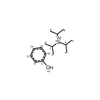 CC(C)[SiH](C(C)C)C(C)C.Oc1ccccc1